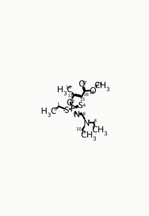 CCSP(=S)(N=CN(CC)CC)OC(C)=CC(=O)OC